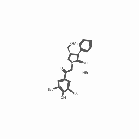 Br.COC[C@@H]1CN(CC(=O)c2cc(C(C)(C)C)c(O)c(C(C)(C)C)c2)C(=N)[C@@H]1c1ccccc1